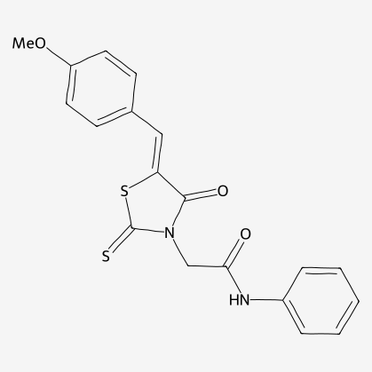 COc1ccc(/C=C2\SC(=S)N(CC(=O)Nc3ccccc3)C2=O)cc1